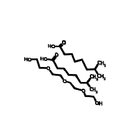 CC(C)CCCCCC(=O)O.CC(C)CCCCCC(=O)O.OCCOCCOCCOCCO